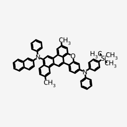 Cc1ccc2c(N(c3ccccc3)c3ccc4ccccc4c3)cc3c4cc(C)cc5c4c(cc3c2c1)-c1ccc(N(c2ccccc2)c2ccc([Si](C)(C)C)cc2)cc1O5